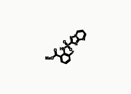 COC(=O)c1cccc(F)c1NS(=O)(=O)c1nc2ncccn2n1